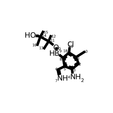 Cc1cc(N)c(C=N)c(BOC(C)(C)C(C)(C)O)c1Cl